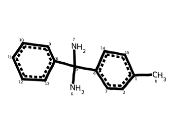 Cc1ccc(C(N)(N)c2ccccc2)cc1